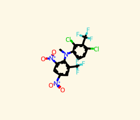 CN(c1ccc(Cl)c(C(F)(F)F)c1Cl)c1c([N+](=O)[O-])cc([N+](=O)[O-])cc1C(F)(F)F